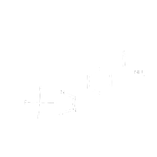 NC(=S)c1ccc(-c2noc(C(F)(F)F)n2)cc1